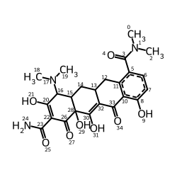 CN(C)C(=O)c1ccc(O)c2c1CC1CC3C(N(C)C)C(O)=C(C(N)=O)C(=O)C3(O)C(O)=C1C2=O